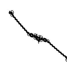 C=C(C)C(=O)OCCCCCCCCCCCCCCCCCOc1ccc(C(=O)Oc2cc(F)c(OC(=O)c3ccc(OCCCCCCCCCCCCCCCCCOC(=O)C(=C)C)cc3)c(F)c2F)cc1